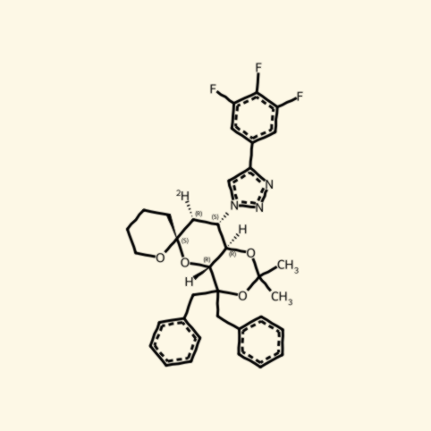 [2H][C@@H]1[C@H](n2cc(-c3cc(F)c(F)c(F)c3)nn2)[C@H]2OC(C)(C)OC(Cc3ccccc3)(Cc3ccccc3)[C@@H]2O[C@@]12CCCCO2